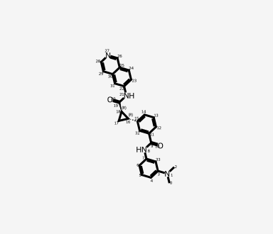 CN(C)c1cccc(NC(=O)c2cccc([C@@H]3C[C@H]3C(=O)Nc3ccc4cnccc4c3)c2)c1